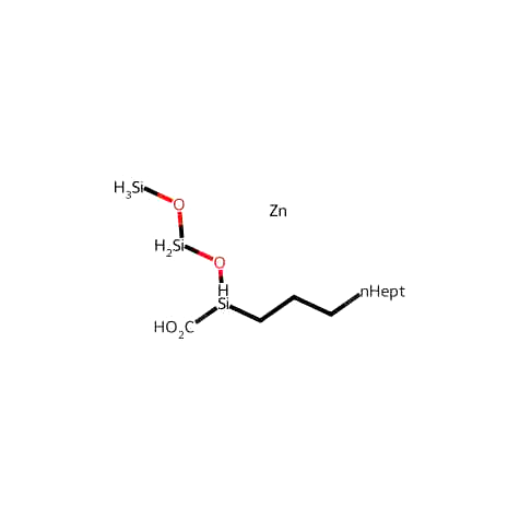 CCCCCCCCCC[SiH](O[SiH2]O[SiH3])C(=O)O.[Zn]